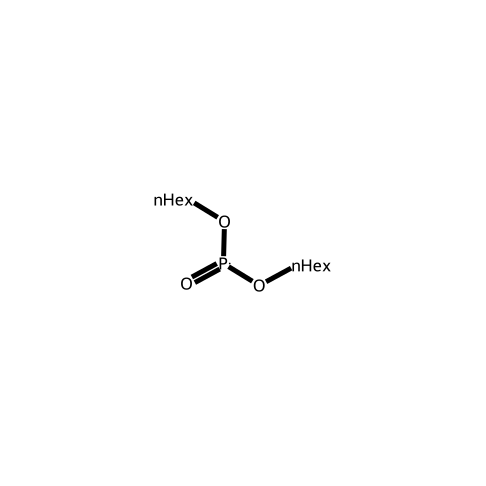 CCCCCCO[P](=O)OCCCCCC